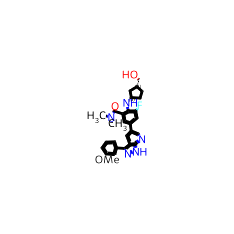 COc1ccccc1-c1n[nH]c2ncc(-c3cc(F)c(N[C@H]4CC[C@@H](CO)C4)c(C(=O)N(C)C)c3)cc12